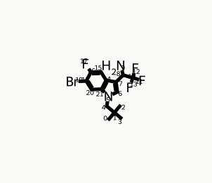 CC(C)(C)Cn1cc(C(N)C(F)(F)F)c2cc(F)c(Br)cc21